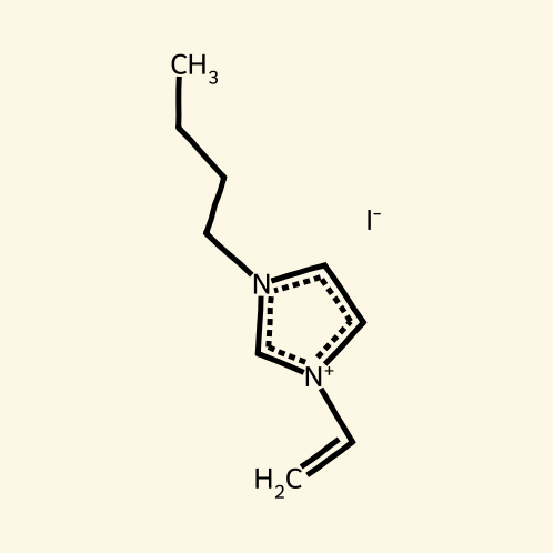 C=C[n+]1ccn(CCCC)c1.[I-]